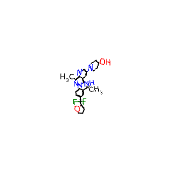 Cc1nnc(N[C@H](C)c2cccc(C(F)(F)C3CCCO3)c2)c2cc(N3CCC(O)CC3)cnc12